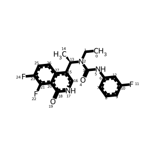 CCN(C(=O)Nc1cccc(F)c1)[C@H](C)c1c[nH]c(=O)c2c(F)c(F)ccc12